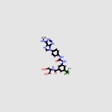 CNc1ncnc2c1ncn2-c1ccc(NC(=O)Nc2cc(C(=O)NC(CO)CO)cc(C(F)(F)F)c2)cc1